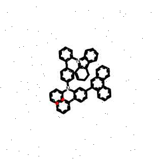 C1=Cc2c(c3ccccc3n2-c2ccccc2-c2ccc(N(c3ccccc3)c3cc(-c4cc5ccccc5c5ccccc45)ccc3-c3ccccc3)cc2)CC1